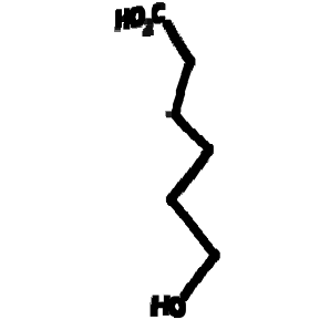 O=C(O)C[CH]CCCO